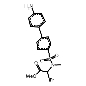 COC(=O)C(C(C)C)N(C)S(=O)(=O)c1ccc(-c2ccc(N)cc2)cc1